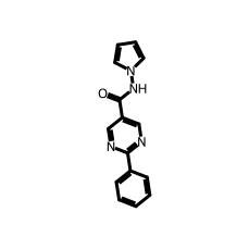 O=C(Nn1cccc1)c1cnc(-c2ccccc2)nc1